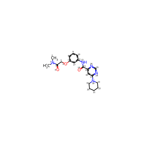 CN(C)C(=O)COc1cccc(NC(=O)c2cc(N3CCCCC3)ncn2)c1